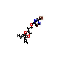 CC1(C)OCC(CCOc2nc(S)ns2)O1